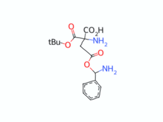 CC(C)(C)OC(=O)C(N)(CC(=O)OC(N)c1ccccc1)C(=O)O